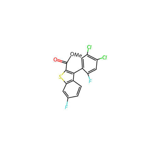 COC(=O)c1sc2cc(F)ccc2c1-c1cc(Cl)c(Cl)cc1F